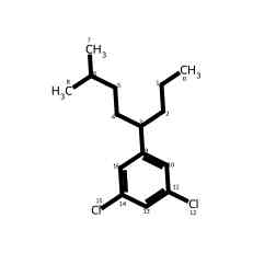 CCCC(CCC(C)C)c1cc(Cl)cc(Cl)c1